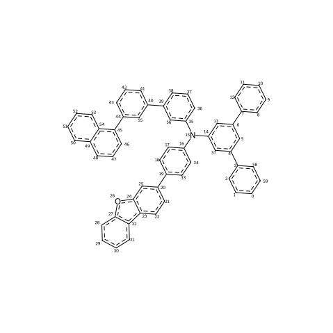 c1ccc(-c2cc(-c3ccccc3)cc(N(c3ccc(-c4ccc5c(c4)oc4ccccc45)cc3)c3cccc(-c4cccc(-c5cccc6ccccc56)c4)c3)c2)cc1